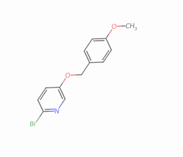 COc1ccc(COc2ccc(Br)nc2)cc1